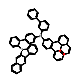 C1=CC2C=CC=C(c3cc(N(c4ccc(-c5ccccc5-n5c6ccccc6c6cc7ccccc7cc65)cc4)c4cccc(-c5ccccc5)c4)ccc3-c3ccccc3)C2C=C1